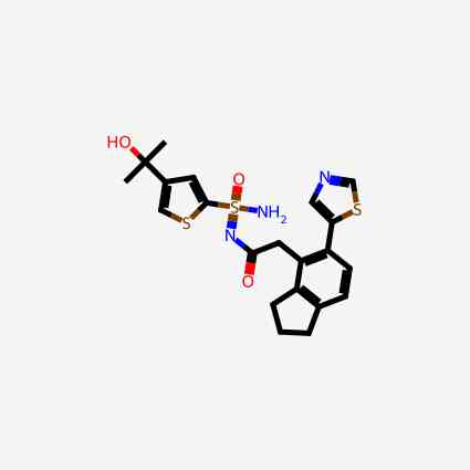 CC(C)(O)c1csc(S(N)(=O)=NC(=O)Cc2c(-c3cncs3)ccc3c2CCC3)c1